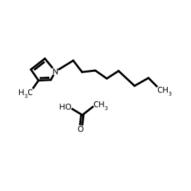 CC(=O)O.CCCCCCCCn1ccc(C)c1